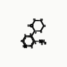 Nc1cnccc1C1CCCCO1